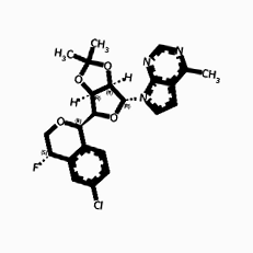 Cc1ncnc2c1ccn2[C@@H]1OC([C@@H]2OC[C@@H](F)c3cc(Cl)ccc32)[C@H]2OC(C)(C)O[C@H]21